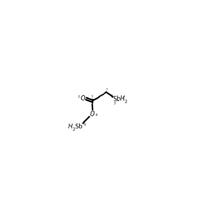 O=C([CH2][SbH2])[O][SbH2]